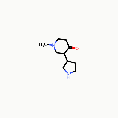 CN1CCC(=O)C(C2CCNC2)C1